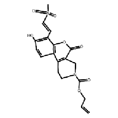 C=CCOC(=O)N1CCc2c(c(=O)oc3c(C=CS(C)(=O)=O)c(O)ccc23)C1